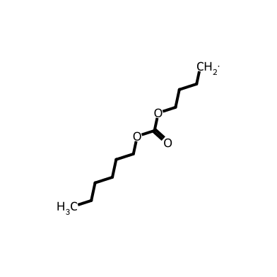 [CH2]CCCOC(=O)OCCCCCC